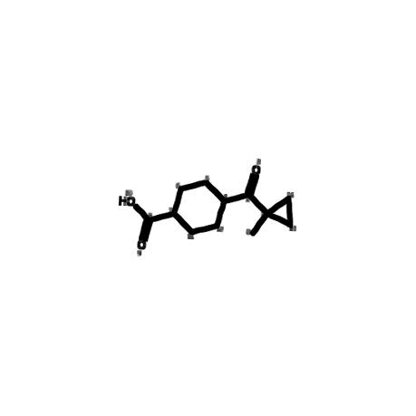 CC1(C(=O)C2CCC(C(=O)O)CC2)CC1